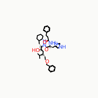 CC(C)[C@@H](CCOCc1ccccc1)C[C@H](O)[C@H](CC1CCCCC1)NC(=O)[C@H](Cc1c[nH]cn1)NC(=O)[CH]Cc1ccccc1